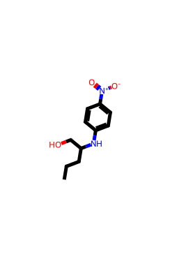 CCCC(CO)Nc1ccc([N+](=O)[O-])cc1